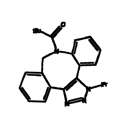 CC(C)n1nnc2c1-c1ccccc1N(C(=O)C(C)(C)C)Cc1ccccc1-2